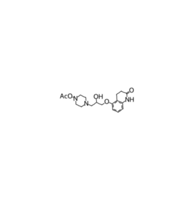 CC(=O)ON1CCN(CC(O)COc2cccc3c2CCC(=O)N3)CC1